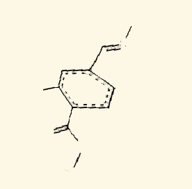 Cc1cc(/C=N/O)ccc1C(=O)OC(C)(C)C